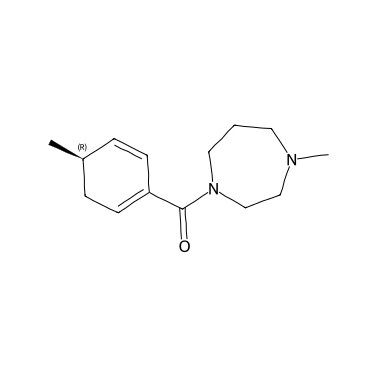 C[C@H]1C=CC(C(=O)N2CCCN(C)CC2)=CC1